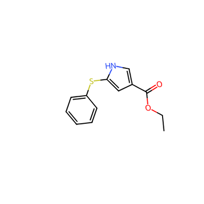 CCOC(=O)c1c[nH]c(Sc2ccccc2)c1